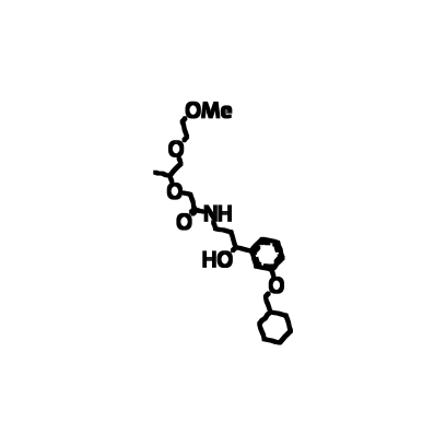 COCCOCC(C)OCC(=O)NCCC(O)c1cccc(OCC2CCCCC2)c1